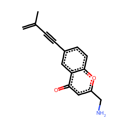 C=C(C)C#Cc1ccc2oc(CN)cc(=O)c2c1